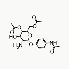 CC(=O)Nc1ccc(O[C@H]2O[C@H](COC(C)=O)[C@@H](OC(C)=O)C(O)[C@H]2N)cc1